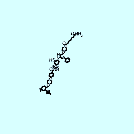 CC1(C)CCC(CN2CCN(c3ccc(C(=O)NS(=O)(=O)c4ccc(NC(CCN5CCN(C(=O)CCCCCC(N)=O)CC5)CSc5ccccc5)c(S)c4)cc3)CC2)=C(C23CC(C)(C2)C3)C1